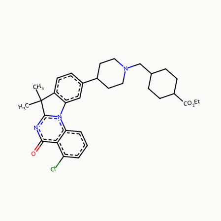 CCOC(=O)C1CCC(CN2CCC(c3ccc4c(c3)-n3c(nc(=O)c5c(Cl)cccc53)C4(C)C)CC2)CC1